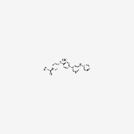 Cl.O=C(C1CC1)N1CCC(Oc2ccc(-c3cncc(Oc4ccccc4)c3)cc2)CC1